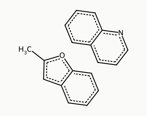 Cc1cc2ccccc2o1.c1ccc2ncccc2c1